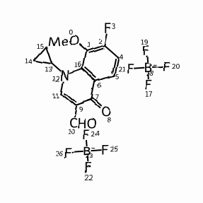 COc1c(F)ccc2c(=O)c(C=O)cn(C3CC3)c12.F[B-](F)(F)F.F[B-](F)(F)F